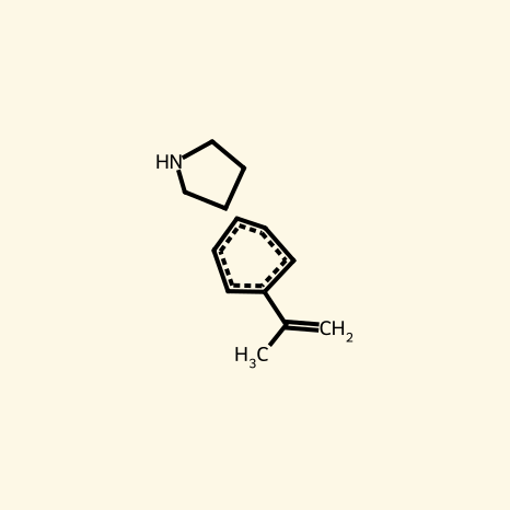 C1CCNC1.C=C(C)c1ccccc1